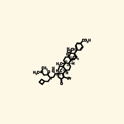 CC(C)C1=C2[C@H]3CC[C@@H]4[C@@]5(C)CC=C(c6ccc(C(=O)O)cc6)C(C)(C)[C@H]5CC[C@@]4(C)[C@]3(C)CC[C@@]2([C@@H](O)CN(CC2CCC2)C(=O)CN(C)C)CC1=O